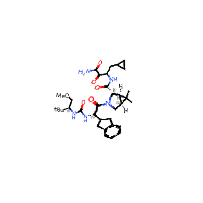 COC[C@@H](NC(=O)N[C@H](C(=O)N1C[C@H]2[C@@H]([C@H]1C(=O)NC(CC1CC1)C(=O)C(N)=O)C2(C)C)C1Cc2ccccc2C1)C(C)(C)C